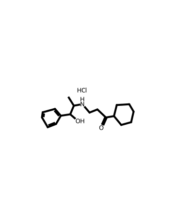 CC(NCCC(=O)C1CCCCC1)C(O)c1ccccc1.Cl